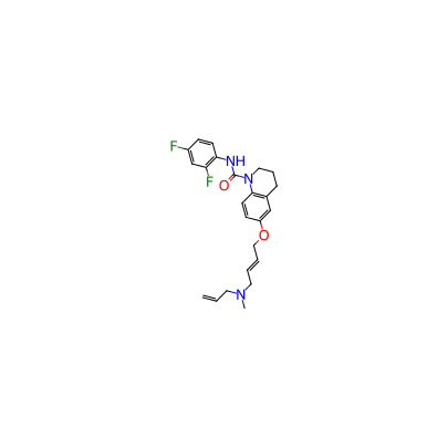 C=CCN(C)CC=CCOc1ccc2c(c1)CCCN2C(=O)Nc1ccc(F)cc1F